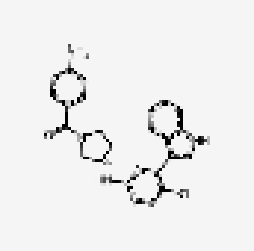 Nc1ccc(C(=O)N2CC[C@H](Nc3ncc(Cl)c(-c4c[nH]c5ccccc45)n3)C2)cc1